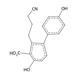 N#CCCCc1c(-c2ccc(O)cc2)ccc(O)c1C(=O)O